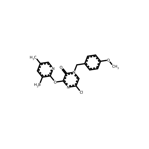 Bc1cc(C)cnc1Oc1nc(Cl)cn(Cc2ccc(OC)cc2)c1=O